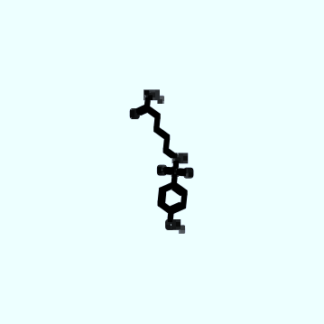 Cc1ccc(S(=O)(=O)NCCCCC(N)=O)cc1